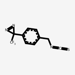 FC(F)(F)C1(c2ccc(CN=C=S)cc2)N=N1